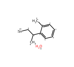 Cc1ccccc1C(C)[CH2][Sn].O